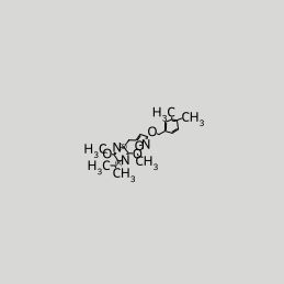 COC1=N[C@H](C(C)C)C(OC)=N[C@H]1Cc1cc(OCc2ccc(C)c(C)c2)no1